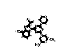 C[C@@H]1CN(c2nc(N3CCOCC3)nc(-n3c(C(F)F)nc4c(O)cccc43)n2)C[C@H](C)O1